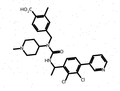 Cc1cc(CN(C(=O)NC(C)c2ccc(-c3cccnc3)c(Cl)c2Cl)C2CCN(C)CC2)ccc1C(=O)O